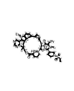 C=CS(=O)(=O)N1CC[C@@H](C(=O)N(C)C(C(=O)N[C@H]2Cc3nc(cs3)-c3ccc4c(c3)c(c(-c3cncnc3)n4CC)CC(C)(C)COC(=O)[C@@H]3CCCN(N3)C2=O)C(C)C)C1